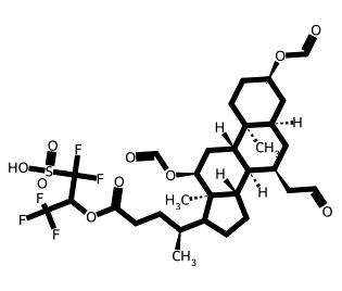 C[C@@H](CCC(=O)OC(C(F)(F)F)C(F)(F)S(=O)(=O)O)C1CC[C@H]2[C@@H]3[C@H](CC=O)C[C@@H]4C[C@H](OC=O)CC[C@]4(C)[C@H]3C[C@H](OC=O)[C@]12C